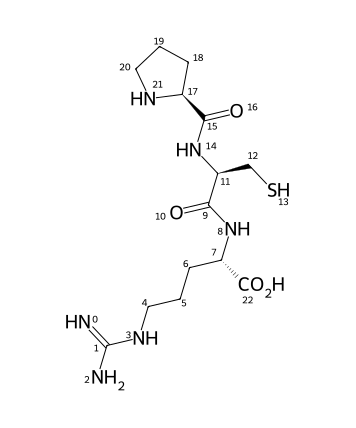 N=C(N)NCCC[C@H](NC(=O)[C@H](CS)NC(=O)[C@@H]1CCCN1)C(=O)O